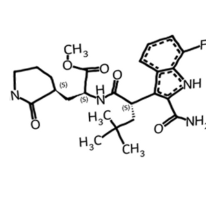 COC(=O)[C@H](C[C@@H]1CCCNC1=O)NC(=O)[C@@H](CC(C)(C)C)c1c(C(N)=O)[nH]c2c(F)cccc12